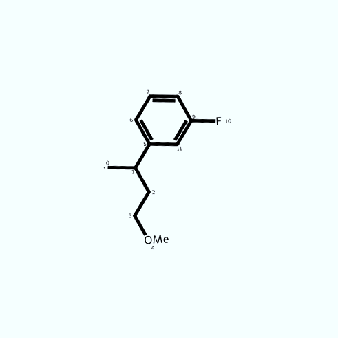 [CH2]C(CCOC)c1cccc(F)c1